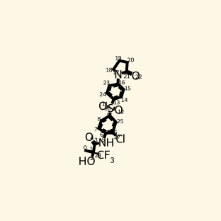 C[C@@](O)(C(=O)Nc1ccc(S(=O)(=O)c2ccc(N3CCCC3=O)cc2)cc1Cl)C(F)(F)F